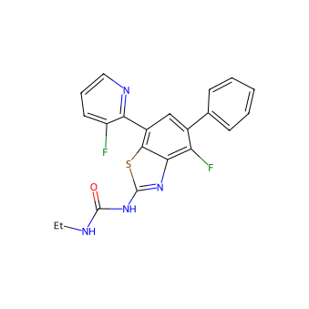 CCNC(=O)Nc1nc2c(F)c(-c3ccccc3)cc(-c3ncccc3F)c2s1